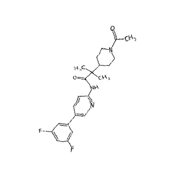 CC(=O)N1CCC(C(C)(C)C(=O)Nc2ccc(-c3cc(F)cc(F)c3)cn2)CC1